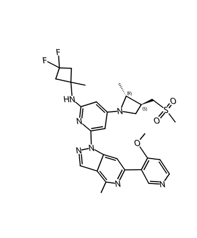 COc1ccncc1-c1cc2c(cnn2-c2cc(N3C[C@H](CS(C)(=O)=O)[C@H]3C)cc(NC3(C)CC(F)(F)C3)n2)c(C)n1